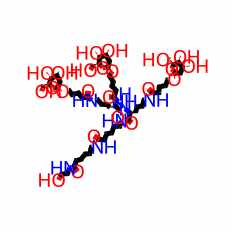 O=C(CCCCCNC(=O)CCCCCNC(=O)[C@H](CCCCNC(=O)CCCCO[C@H]1C[C@@H](O)[C@@H](O)[C@@H](CO)O1)NC(=O)[C@H](CCCCNC(=O)CCCCO[C@H]1C[C@@H](O)[C@@H](O)[C@@H](CO)O1)NC(=O)CCCCO[C@H]1C[C@@H](O)[C@@H](O)[C@@H](CO)O1)NCCO